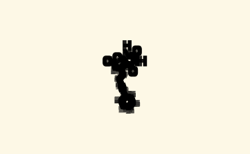 O=c1[nH]c(=O)c2c(CCC#Cc3ccccc3)cc(=O)oc2[nH]1